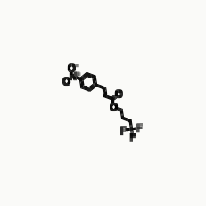 O=C(C=Cc1ccc([N+](=O)[O-])cc1)OCCCC(F)(F)F